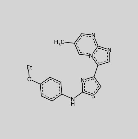 CCOc1ccc(Nc2nc(-c3cnc4ncc(C)cn34)cs2)cc1